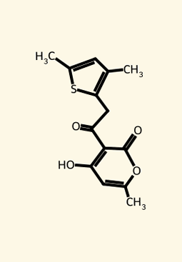 Cc1cc(O)c(C(=O)Cc2sc(C)cc2C)c(=O)o1